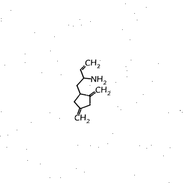 C=CC(N)CC1CC(=C)CC1=C